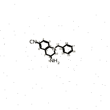 [C-]#[N+]c1ccc2c(c1)CC(N)CN2Cc1ccccc1